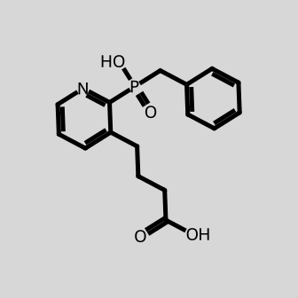 O=C(O)CCCc1cccnc1P(=O)(O)Cc1ccccc1